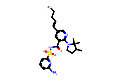 CC(C)CC/C=C/c1cnc(N2CCC(C)C2(C)C)c(C(=O)NS(=O)(=O)c2cccc(N)n2)c1